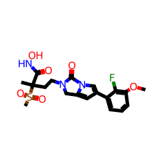 COc1cccc(-c2cc3n(c2)C(=O)N(CCC(C)(C(=O)NO)S(C)(=O)=O)C3)c1F